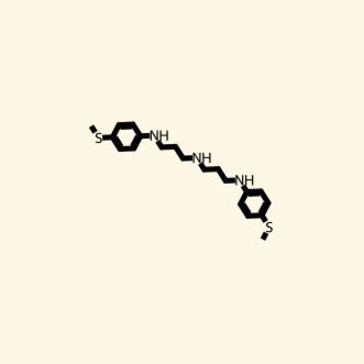 CSc1ccc(NCCCNCCCNc2ccc(SC)cc2)cc1